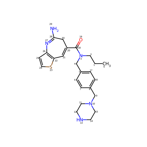 CCCN(Cc1ccc(CN2CCNCC2)cc1)C(=O)C1=Cc2sccc2N=C(N)C1